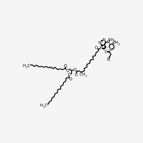 CCCCCCCCCCCCCCCC(=O)OCC(COC(=O)CCCCCCCCCCCCCCC)OC(=O)CC(C)CCCCCCCCCCCC(=O)n1ccc2c(N(C)[C@H]3CN(C(=O)CC#N)CC[C@H]3C)ncnc21